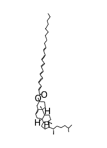 CCCCCCCCC/C=C/C=C/C=C/C=C/C=C/C=C/C(=O)O[C@H]1CC[C@@]2(C)C(=CC[C@H]3[C@@H]4CC[C@H]([C@H](C)CCCC(C)C)[C@@]4(C)CC[C@@H]32)C1